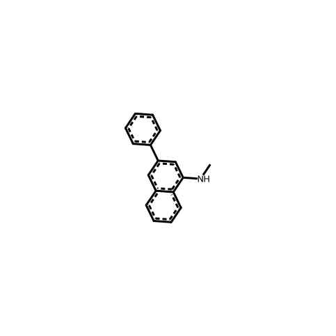 CNc1cc(-c2ccccc2)cc2ccccc12